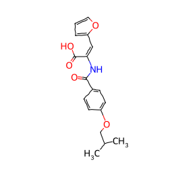 CC(C)COc1ccc(C(=O)NC(=Cc2ccco2)C(=O)O)cc1